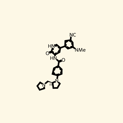 [C-]#[N+]c1cc(NC)cc(-c2c[nH]c(=O)c(NC(=O)c3ccc(N4CCC[C@H]4CN4CCCC4)cc3)c2)c1